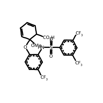 COC1(Oc2ccc(C(F)(F)F)cc2NS(=O)(=O)c2cc(C(F)(F)F)cc(C(F)(F)F)c2)C=CC=CC1C(=O)O